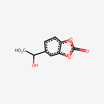 O=C(O)C(O)c1ccc2oc(=O)oc2c1